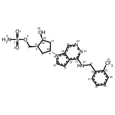 NS(=O)(=O)OC[C@@H]1C[C@@H](n2ccc3c(NCc4ccccc4C(F)(F)F)nncc32)C[C@@H]1O